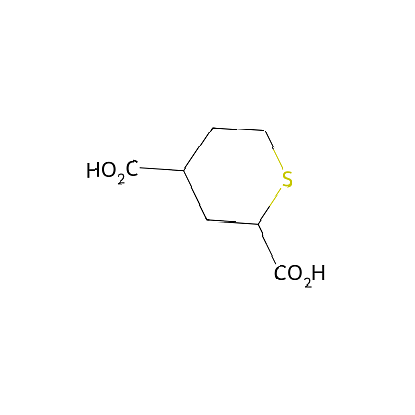 O=C(O)C1CCSC(C(=O)O)C1